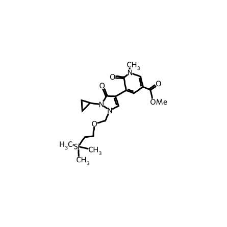 COC(=O)c1cc(-c2cn(COCC[Si](C)(C)C)n(C3CC3)c2=O)c(=O)n(C)c1